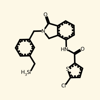 O=C(Nc1cccc2c1CN(Cc1cccc(C[SiH3])c1)C2=O)c1ccc(Cl)s1